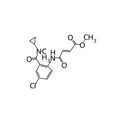 COC(=O)/C=C/C(=O)Nc1ccc(Cl)cc1C(=O)N(C)C1CC1